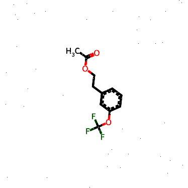 CC(=O)OCCc1cccc(OC(F)(F)F)c1